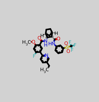 CCc1ccc(-c2cc(C(=O)N[C@@H]3[C@H]4CC[C@H](C4)[C@@H]3C(=O)Nc3cccc(S(=O)(=O)C(F)(F)F)c3)c(OC)cc2F)nc1